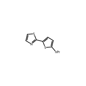 CCCc1ccc(-c2nccs2)s1